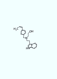 C/C=C\c1ccc(CN(CCO)CCc2c[nH]c3ccccc23)cc1